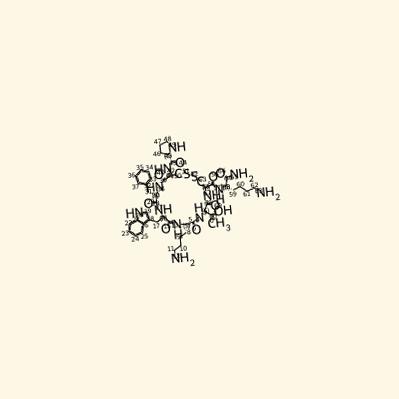 C[C@@H](O)[C@@H]1NC(=O)[C@H](CCCCN)NC(=O)[C@@H](Cc2c[nH]c3ccccc23)NC(=O)[C@H](Cc2ccccc2)NC(=O)[C@@H](NC(=O)[C@@H]2CCCN2)CSSC[C@@H](C(=O)N[C@@H](CCCCN)C(N)=O)NC1=O